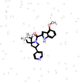 CCC1(C(C)C)CC(c2ccncc2)CN1C(=O)c1cc2c(OC)cccc2[nH]1